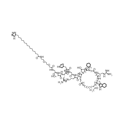 CC(=O)[C@@H]1CCCCNC(=O)CC[C@H](NC(=O)[C@@H](CCCN)NC(=O)CNC(=O)[C@H](Cc2c[nH]cn2)NC(=O)[C@H](CCC(N)=O)NC(=O)[C@H](CO)NC(=O)CNC(=O)COCCOCCNC(=O)CCCCCCCCCCCCCCCc2nnn[nH]2)C(=O)N2C[C@H](O)C[C@H]2C(=O)N[C@H](Cc2ccccc2)C(=O)N[C@@H](CCCNC(=N)N)C(=O)N[C@@H](Cc2c[nH]c3ccccc23)C(=O)N1